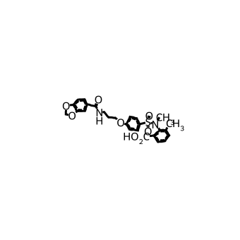 Cc1cccc(C(=O)O)c1N(C)S(=O)(=O)c1ccc(OCCCNC(=O)c2ccc3c(c2)OCO3)cc1